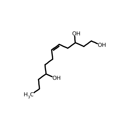 CCCC(O)CC/C=C\CC(O)CCO